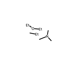 CCC.CCOCC.CN(C)C